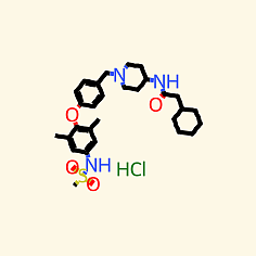 Cc1cc(NS(C)(=O)=O)cc(C)c1Oc1ccc(CN2CCC(NC(=O)CC3CCCCC3)CC2)cc1.Cl